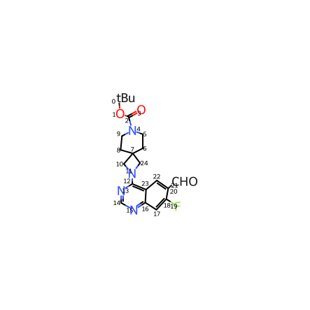 CC(C)(C)OC(=O)N1CCC2(CC1)CN(c1ncnc3cc(F)c(C=O)cc13)C2